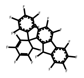 FC1=C(F)C(F)C(c2c(F)c(F)c(F)c(F)c2F)(c2c(F)c(F)c(F)c3c2C(F)c2c(F)c(F)c(F)c(F)c2-3)C(F)=C1F